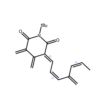 C=C(/C=C\C)/C=C\C=C1/C(=C)C(=C)C(=O)N(C(C)(C)C)C1=O